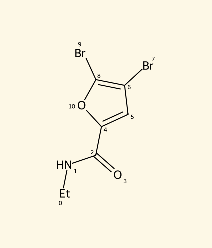 CCNC(=O)c1cc(Br)c(Br)o1